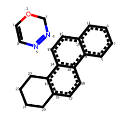 C1=COCN=N1.c1ccc2c(c1)ccc1c3c(ccc12)CCCC3